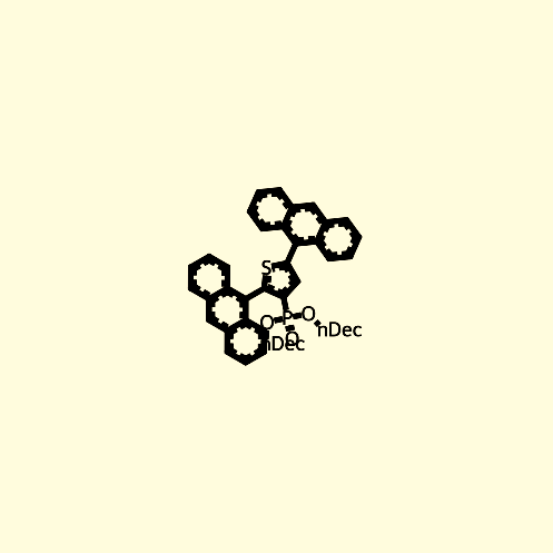 CCCCCCCCCCOP(=O)(OCCCCCCCCCC)c1cc(-c2c3ccccc3cc3ccccc23)sc1-c1c2ccccc2cc2ccccc12